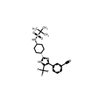 CC(C)(C)S(=O)(=O)N[C@H]1CC[C@H](c2nc(-c3cccc(C#N)c3)c(C(F)(F)F)[nH]2)CC1